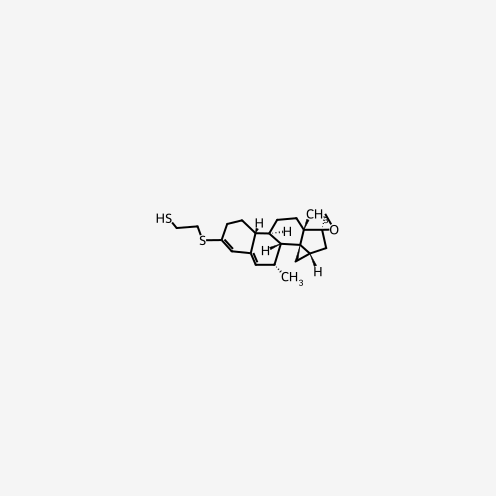 C[C@@H]1C=C2C=C(SCCS)CC[C@@H]2[C@H]2CC[C@]3(C)[C@]4(CO4)C[C@@H]4C[C@]43[C@@H]21